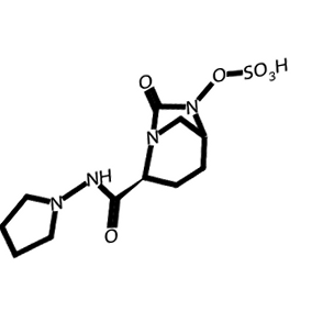 O=C(NN1CCCC1)[C@@H]1CCC2CN1C(=O)N2OS(=O)(=O)O